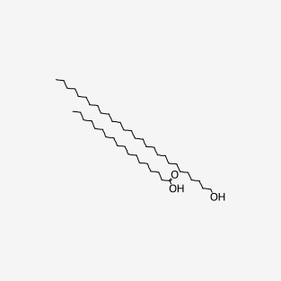 CCCCCCCCCCCCCCCCCC(=O)O.CCCCCCCCCCCCCCCCCCCCCCCCCCCCO